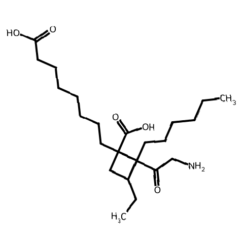 CCCCCCC1(C(=O)CN)C(CC)CC1(CCCCCCCC(=O)O)C(=O)O